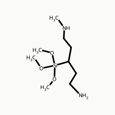 CNCCC(CCN)[Si](OC)(OC)OC